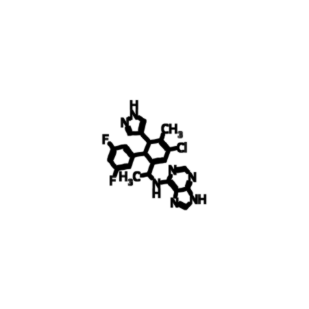 CC1=C(Cl)C=C(C(C)Nc2ncnc3[nH]cnc23)C(c2cc(F)cc(F)c2)C1c1cn[nH]c1